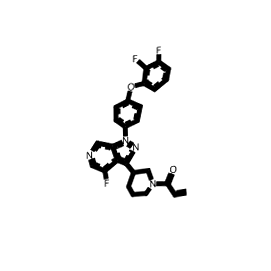 C=CC(=O)N1CCCC(c2nn(-c3ccc(Oc4cccc(F)c4F)cc3)c3cncc(F)c23)C1